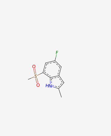 Cc1cc2cc(F)cc(S(C)(=O)=O)c2[nH]1